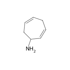 NC1C=CCC=CC1